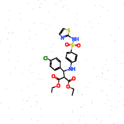 CCOC(=O)C(C(=O)OCC)C(Nc1ccc(S(=O)(=O)Nc2nccs2)cc1)c1ccc(Cl)cc1